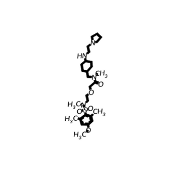 COc1cc(C)c(S(=O)(=O)N(C)CCOCC(=O)N(C)CC2CCC(NCCN3CCCC3)CC2)c(C)c1